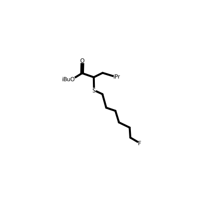 CC(C)COC(=O)C(CC(C)C)SCCCCCCF